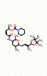 C/C(=C\C[C@@H]1O[C@H](C)[C@H](NC(=O)/C=C\C(C)OC(=O)N2CCCCC2)C[C@@H]1C)B1OC(C)(C)C(C)(C)O1